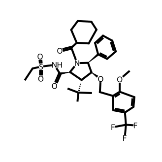 CCS(=O)(=O)NC(=O)[C@@H]1[C@@H](C(C)(C)C)[C@H](OCc2cc(C(F)(F)F)ccc2OC)[C@H](c2ccccc2)N1C(=O)C1CCCCC1